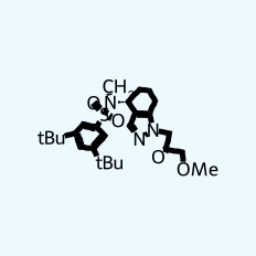 COCC(=O)Cn1ncc2c1CCC[C@H]2N(C)S(=O)(=O)c1cc(C(C)(C)C)cc(C(C)(C)C)c1